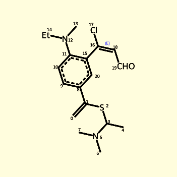 C=C(SC(C)N(C)C)c1ccc(N(C)CC)c(/C(Cl)=C\C=O)c1